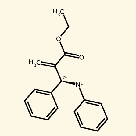 C=C(C(=O)OCC)[C@@H](Nc1ccccc1)c1ccccc1